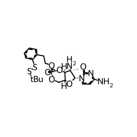 CC(C)(C)SSc1ccccc1CCOP1(=O)OC[C@H]2O[C@@H](n3ccc(N)nc3=O)[C@](C)(N)[C@@H]2O1